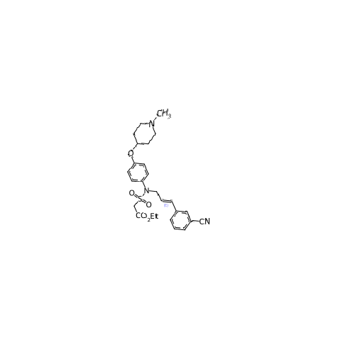 CCOC(=O)CS(=O)(=O)N(C/C=C/c1cccc(C#N)c1)c1ccc(OC2CCN(C)CC2)cc1